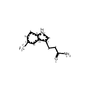 NC(=O)CCc1c[nH]c2ccc(C(F)(F)F)cc12